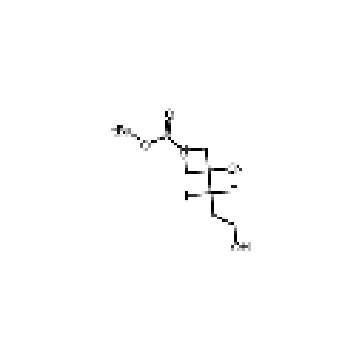 CC(C)(C)OC(=O)N1CC(C#N)(C(F)(F)CCO)C1